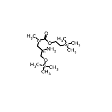 CN(C[C@@H](N)CO[Si](C)(C)C)C(=O)OCC[Si](C)(C)C